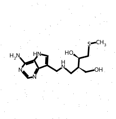 CSC[C@H](O)[C@@H](CO)CNCc1c[nH]c2c(N)ncnc12